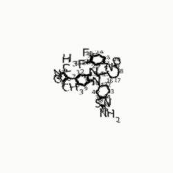 Cc1noc(C)c1-c1ccc2c(c1)nc(C1CCCC(=O)N1c1ccc(F)c(F)c1)n2C1CCc2nc(N)sc2C1